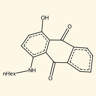 CCCCCCNc1ccc(O)c2c1C(=O)c1ccccc1C2=O